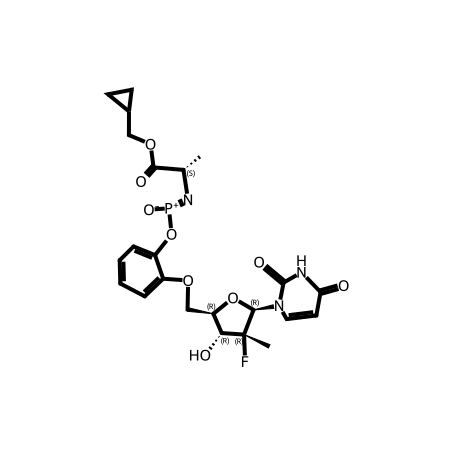 C[C@H](N=[P+]([O-])Oc1ccccc1OC[C@H]1O[C@@H](n2ccc(=O)[nH]c2=O)[C@](C)(F)[C@@H]1O)C(=O)OCC1CC1